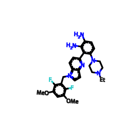 CCN1CCN(c2ccc(N)c(N)c2-c2ccc3c(ccn3Cc3c(F)c(OC)cc(OC)c3F)n2)CC1